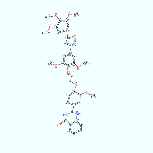 COc1cc(C2NC(=O)c3ccccc3N2)ccc1OCCOc1c(OC)cc(-c2cc(-c3cc(OC)c(OC)c(OC)c3)on2)cc1OC